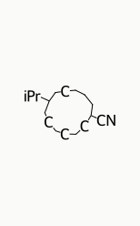 CC(C)C1CCCCCCC(C#N)CCCCC1